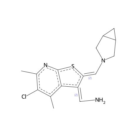 Cc1nc2sc(=C\N3CC4CC4C3)/c(=C\N)c2c(C)c1Cl